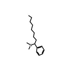 CCCCCCCCC(c1ccccc1)N(C)C